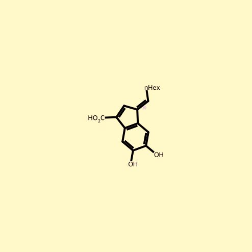 CCCCCC/C=C1\C=C(C(=O)O)c2cc(O)c(O)cc21